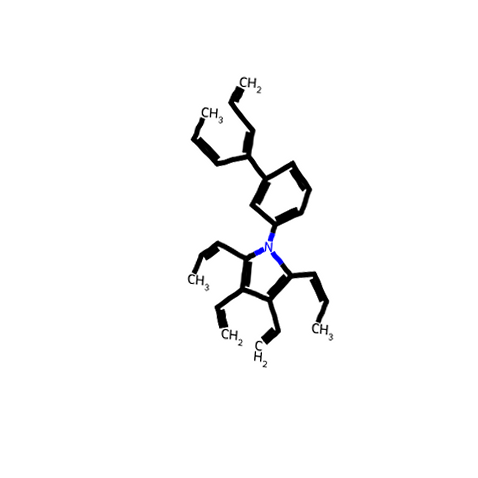 C=C/C=C(\C=C/C)c1cccc(-n2c(/C=C\C)c(C=C)c(C=C)c2/C=C\C)c1